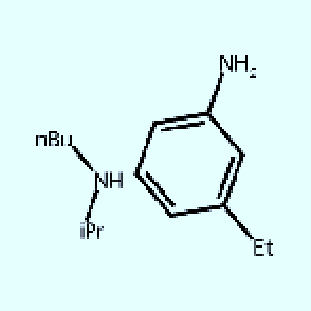 CCCCNC(C)C.CCc1cccc(N)c1